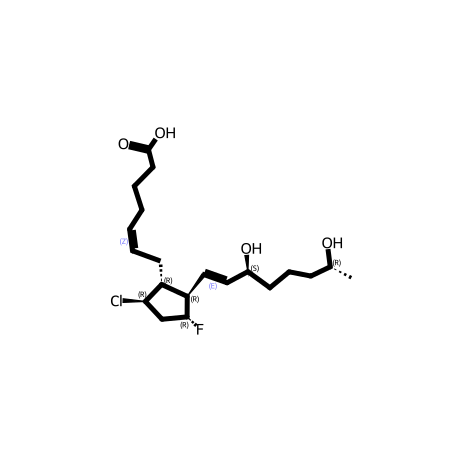 C[C@@H](O)CCC[C@H](O)/C=C/[C@@H]1[C@@H](C/C=C\CCCC(=O)O)[C@H](Cl)C[C@H]1F